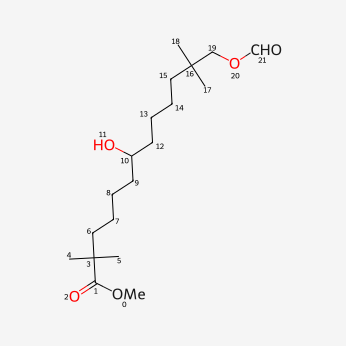 COC(=O)C(C)(C)CCCCC(O)CCCCC(C)(C)COC=O